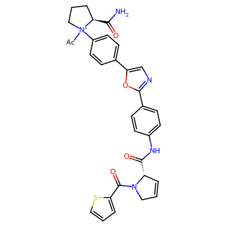 CC(=O)[N+]1(c2ccc(-c3cnc(-c4ccc(NC(=O)[C@@H]5C=CCN5C(=O)c5cccs5)cc4)o3)cc2)CCC[C@H]1C(N)=O